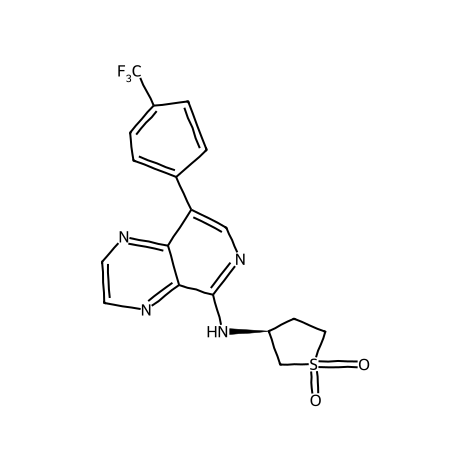 O=S1(=O)CC[C@H](Nc2ncc(-c3ccc(C(F)(F)F)cc3)c3nccnc23)C1